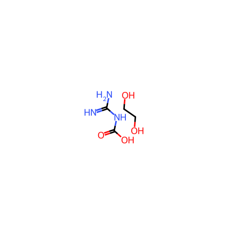 N=C(N)NC(=O)O.OCCO